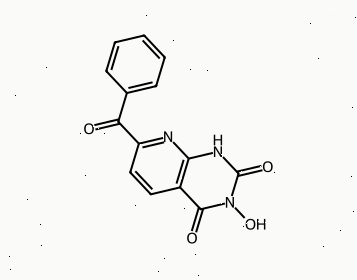 O=C(c1ccccc1)c1ccc2c(=O)n(O)c(=O)[nH]c2n1